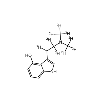 [2H]C(c1c[nH]c2cccc(O)c12)C([2H])([2H])N(C([2H])([2H])[2H])C([2H])([2H])[2H]